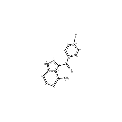 Cc1cccc2[nH]nc(C(=O)c3ccc(I)cc3)c12